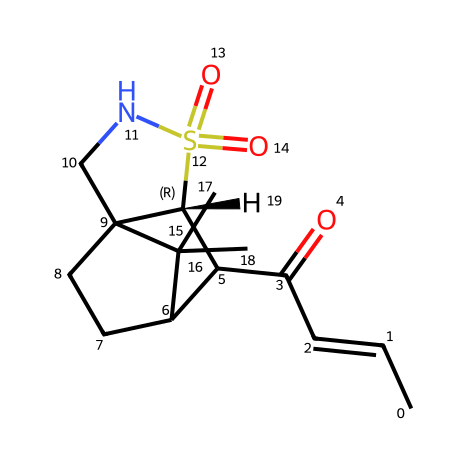 CC=CC(=O)C1C2CCC3(CNS(=O)(=O)[C@H]13)C2(C)C